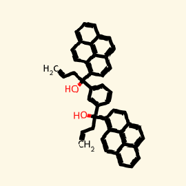 C=CCC(O)(c1cccc(C(O)(CC=C)c2ccc3ccc4cccc5ccc2c3c45)c1)c1ccc2ccc3cccc4ccc1c2c34